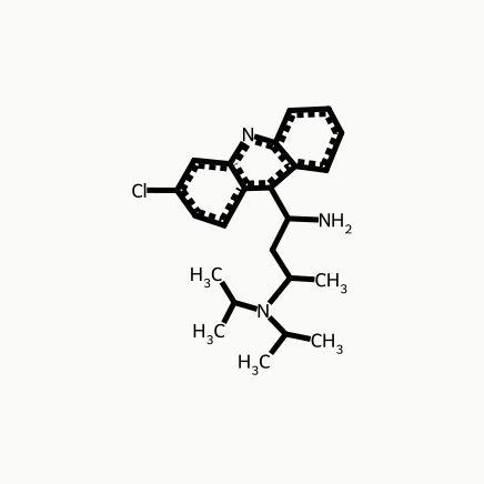 CC(C)N(C(C)C)C(C)CC(N)c1c2ccccc2nc2cc(Cl)ccc12